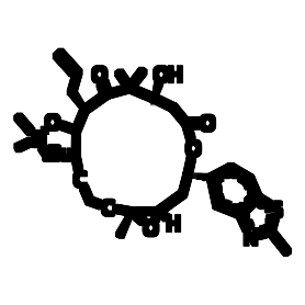 C=CC[C@H]1C(=O)C(C)(C)[C@@H](O)CC(=O)O[C@H](c2ccc3sc(C)nc3c2)C[C@@H]2O[C@]2(C)CCC[C@H](C)C1O[Si](C)(C)C(C)(C)C